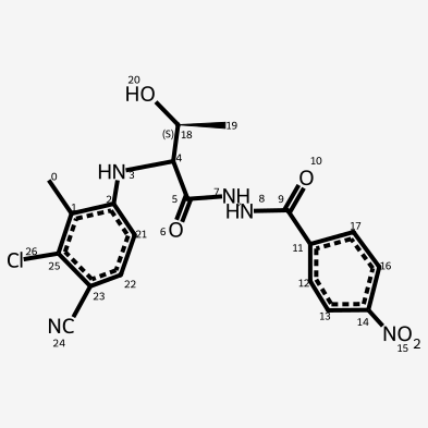 Cc1c(NC(C(=O)NNC(=O)c2ccc([N+](=O)[O-])cc2)[C@H](C)O)ccc(C#N)c1Cl